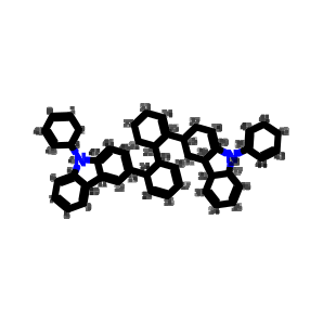 C1=CCC(n2c3ccccc3c3cc(C4C=CC=CC4C4CCCC=C4C4CC=C5C(C4)C4C=CC=CC4N5C4=CCCC=C4)ccc32)C=C1